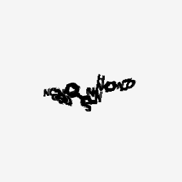 CS(=O)(=O)N(CC#N)c1cccc(-c2csc3cnc(Nc4ccc(N5CCOCC5)cc4)nc23)c1